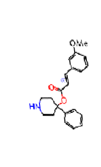 COc1cccc(/C=C/C(=O)OC2(c3ccccc3)CCNCC2)c1